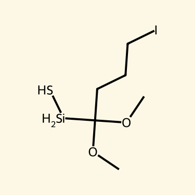 COC(CCCI)(OC)[SiH2]S